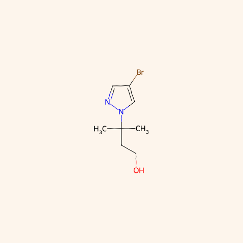 CC(C)(CCO)n1cc(Br)cn1